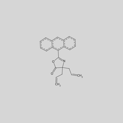 C=CCC1(CC=C)N=C(c2c3ccccc3cc3ccccc23)OC1=O